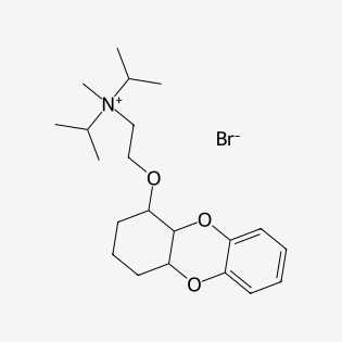 CC(C)[N+](C)(CCOC1CCCC2Oc3ccccc3OC12)C(C)C.[Br-]